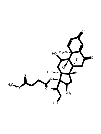 COC(=O)CCC(=O)O[C@]1(C(=O)CO)C(C)C[C@H]2[C@@H]3CC(=O)C4=CC(=O)C=C[C@]4(C)[C@@]3(Cl)C(O)C[C@@]21C